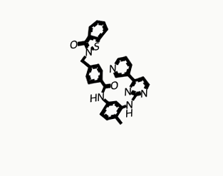 Cc1ccc(NC(=O)c2ccc(Cn3sc4ccccc4c3=O)cc2)cc1Nc1nccc(-c2cccnc2)n1